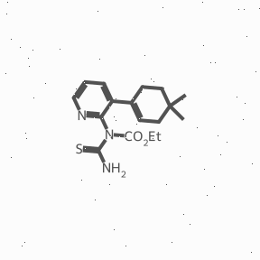 CCOC(=O)N(C(N)=S)c1ncccc1C1=CCC(C)(C)CC1